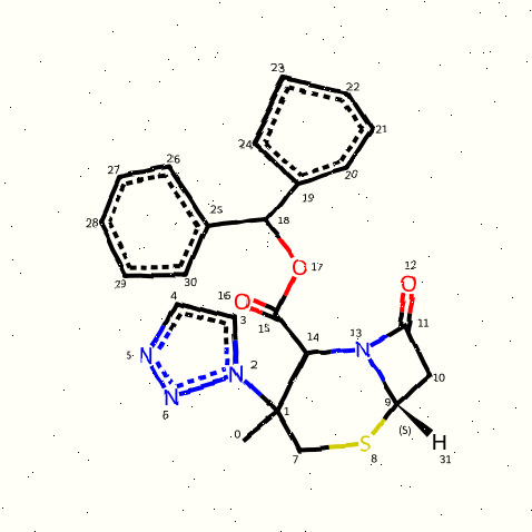 CC1(n2ccnn2)CS[C@H]2CC(=O)N2C1C(=O)OC(c1ccccc1)c1ccccc1